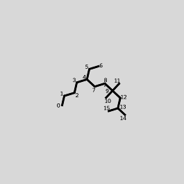 CCCCC(CC)C[CH]C(C)(C)CC(C)C